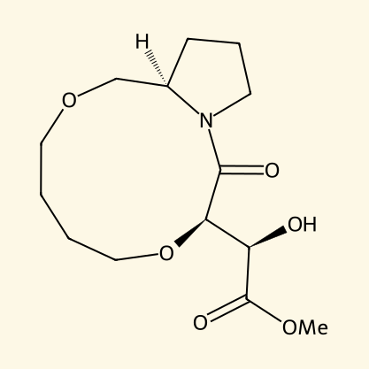 COC(=O)[C@H](O)[C@H]1OCCCCOC[C@H]2CCCN2C1=O